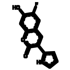 O=c1oc2cc(O)c(F)cc2cc1-c1ccc[nH]1